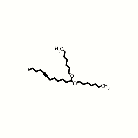 CCCCCCCOC(CCCCCC#CCCCI)OCCCCCCC